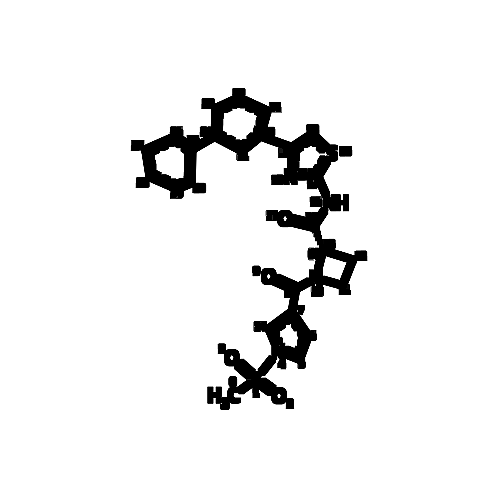 CS(=O)(=O)n1ccc(C(=O)N2CC[C@H]2C(=O)Nc2nc(-c3cccc(-c4ccccc4)c3)cs2)c1